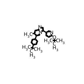 Cc1cc2ncc(-c3ccc(OC(C)(C)C)nc3)n2cc1-c1ccc(C(C)(C)C)cc1